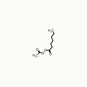 CCCCCCC(=O)OOC(C)=O